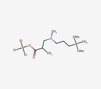 CC[Si](CC)(CC)OC(=O)C(C)CN(C)CCC[Si](C)(OC)OC